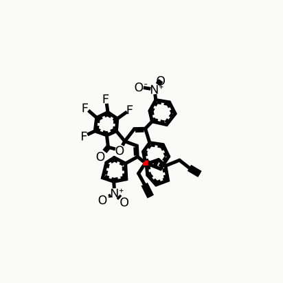 C#CCc1cccc(C(=CC2(C=C(c3cccc(CC#C)c3)c3cccc([N+](=O)[O-])c3)OC(=O)c3c(F)c(F)c(F)c(F)c32)c2cccc([N+](=O)[O-])c2)c1